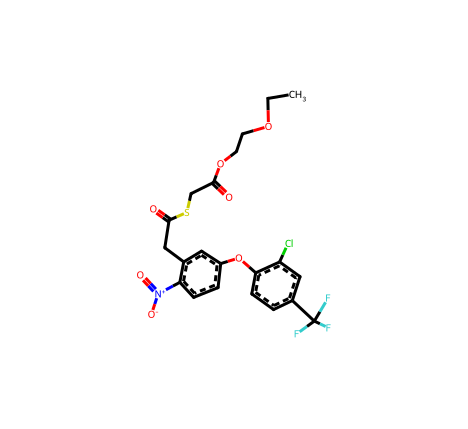 CCOCCOC(=O)CSC(=O)Cc1cc(Oc2ccc(C(F)(F)F)cc2Cl)ccc1[N+](=O)[O-]